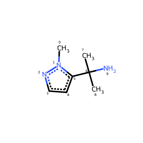 Cn1nccc1C(C)(C)N